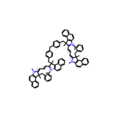 CC[N+]1=C(/C=C/C=C2/N(C)c3ccc4ccccc4c3C2(C)Cc2ccccc2)C(C)(Cc2ccc(Cc3ccc(CC4(C)C(/C=C/C=C5/N(C)c6ccc7ccccc7c6C5(C)Cc5ccccc5)=[N+](CC)c5ccc6ccccc6c54)cc3)cc2)c2c1ccc1ccccc21